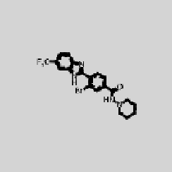 O=C(NN1CCCCC1)c1ccc(-c2nc3ccc(C(F)(F)F)cc3[nH]2)c(Br)c1